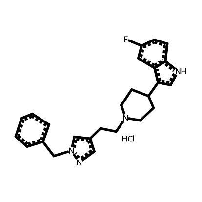 Cl.Fc1ccc2[nH]cc(C3CCN(CCc4cnn(Cc5ccccc5)c4)CC3)c2c1